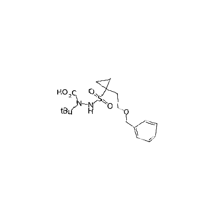 CC(C)(C)N(NS(=O)(=O)C1(CCOCc2ccccc2)CC1)C(=O)O